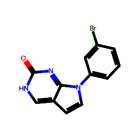 O=c1nc2c(ccn2-c2cccc(Br)c2)c[nH]1